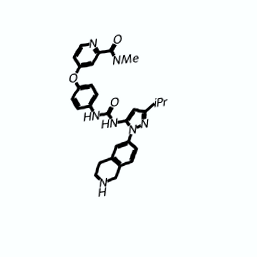 CNC(=O)c1cc(Oc2ccc(NC(=O)Nc3cc(C(C)C)nn3-c3ccc4c(c3)CCNC4)cc2)ccn1